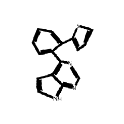 c1csc(-c2ccccc2-c2ncnc3[nH]ccc23)c1